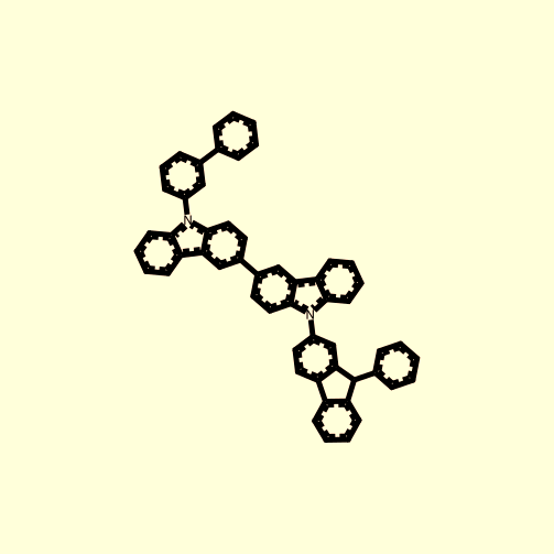 c1ccc(-c2cccc(-n3c4ccccc4c4cc(-c5ccc6c(c5)c5ccccc5n6-c5ccc6c(c5)C(c5ccccc5)c5ccccc5-6)ccc43)c2)cc1